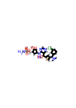 CN(C)C(c1cccc(Cl)c1)c1csc(C(O)c2cncnc2N[C@@H]2C[C@H](COS(N)(=O)=O)[C@@H](O)C2)c1